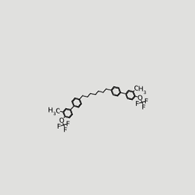 Cc1cc(-c2ccc(CCCCCCCc3ccc(-c4ccc(OC(F)(F)F)c(C)c4)cc3)cc2)ccc1OC(F)(F)F